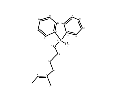 CC=C(C)CCCO[Si](c1ccccc1)(c1ccccc1)C(C)(C)C